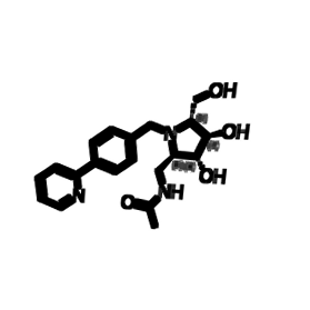 CC(=O)NC[C@@H]1[C@@H](O)[C@H](O)[C@@H](CO)N1Cc1ccc(-c2ccccn2)cc1